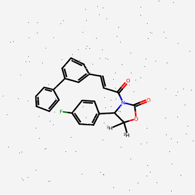 [2H]C1([2H])OC(=O)N(C(=O)/C=C/c2cccc(-c3ccccc3)c2)C1c1ccc(F)cc1